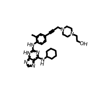 Cc1cc(C#CCN2CCN(CCO)CC2)ccc1Nc1nc(NC2CCCCC2)c2ncnc-2[nH]1